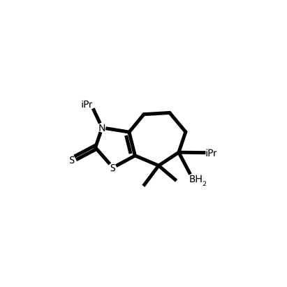 BC1(C(C)C)CCCc2c(sc(=S)n2C(C)C)C1(C)C